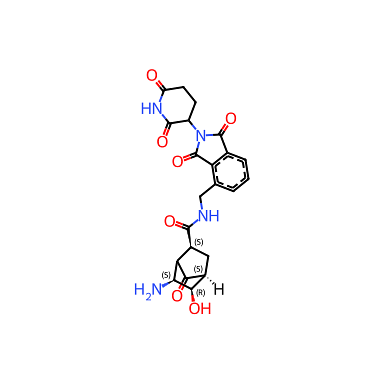 N[C@H]1C2C(=O)[C@@H](C[C@@H]2C(=O)NCc2cccc3c2C(=O)N(C2CCC(=O)NC2=O)C3=O)[C@H]1O